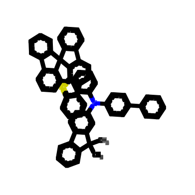 CC1(C)c2ccccc2-c2ccc(N(c3ccc(-c4ccccc4)cc3)c3cccc(-c4cccc5c4C4(c6ccccc6-5)c5ccccc5-c5ccc6c(sc7ccccc76)c54)c3)cc21